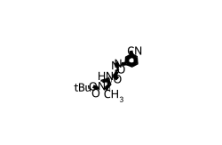 C[C@@H]1C[C@@H](NC(=O)c2nnc(-c3cccc(C#N)c3)o2)CN1C(=O)OC(C)(C)C